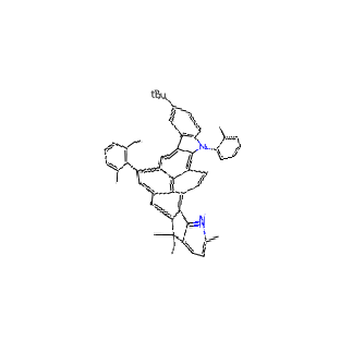 Cc1ccc2c(n1)-c1c(cc3cc(-c4c(C)cccc4C)c4cc5c6cc(C(C)(C)C)ccc6n(-c6ccccc6C)c5c5ccc1c3c45)C2(C)C